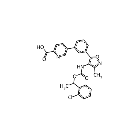 Cc1noc(-c2cccc(-c3ccc(C(=O)O)nc3)c2)c1NC(=O)OC(C)c1ccccc1Cl